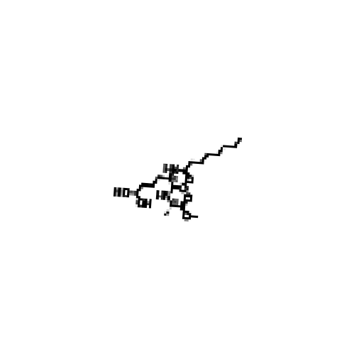 CCCCCCCC(=O)N[C@H](CCCC(O)O)C(=O)N[C@@H](C)C(=O)OC